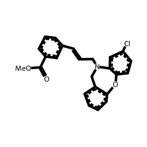 COC(=O)c1cccc(C=CCN2Cc3ccccc3Oc3ccc(Cl)cc32)c1